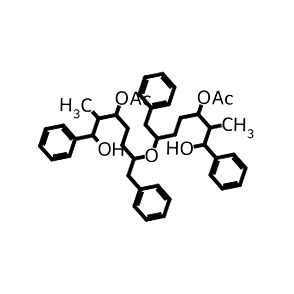 CC(=O)OC(CCC(Cc1ccccc1)OC(CCC(OC(C)=O)C(C)C(O)c1ccccc1)Cc1ccccc1)C(C)C(O)c1ccccc1